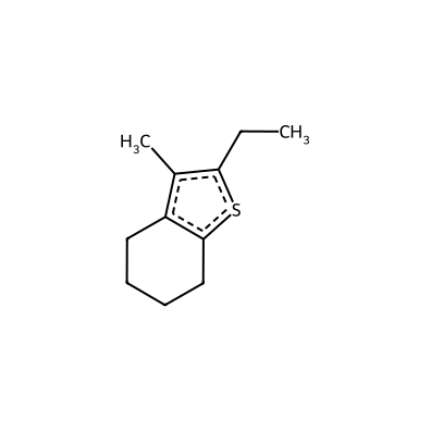 CCc1sc2c(c1C)CCCC2